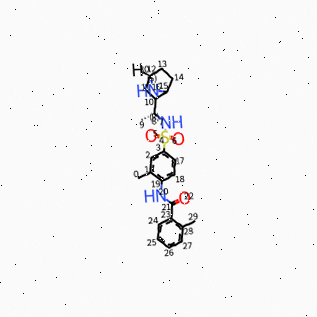 Cc1cc(S(=O)(=O)N[C@H](C)C2C[C@@H]3CCC2N3)ccc1NC(=O)c1ccccc1C